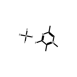 Cc1c[n+](C)c(C)c(F)n1.F[B-](F)(F)F